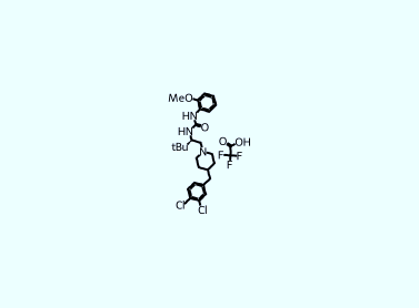 COc1ccccc1NC(=O)N[C@@H](CN1CCC(Cc2ccc(Cl)c(Cl)c2)CC1)C(C)(C)C.O=C(O)C(F)(F)F